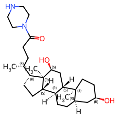 C[C@H](CCC(=O)N1CCNCC1)[C@H]1CC[C@H]2[C@@H]3CC[C@@H]4C[C@H](O)CC[C@]4(C)[C@H]3C[C@H](O)[C@]12C